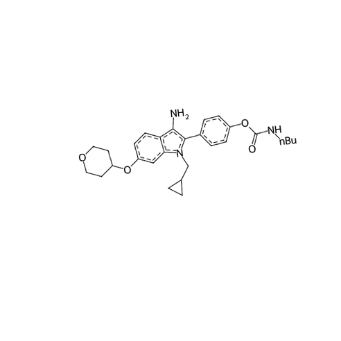 CCCCNC(=O)Oc1ccc(-c2c(N)c3ccc(OC4CCOCC4)cc3n2CC2CC2)cc1